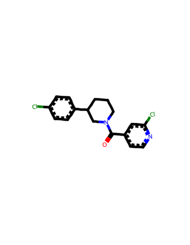 O=C(c1ccnc(Cl)c1)N1CCCC(c2ccc(Cl)cc2)C1